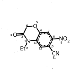 CCN1C(=O)COc2cc([N+](=O)[O-])c(C#N)cc21